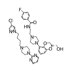 Clc1cnn(CCCCN2CCN(c3ncccn3)CC2)c1.O=C(NCCN1CCN(c2cccc3c2OC[C@H](CO)O3)CC1)c1ccc(F)cc1